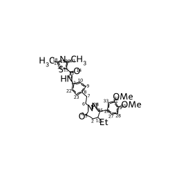 CCC1CC(=O)N(CCc2ccc(NC(=O)c3sc(C)nc3C)cc2)N=C1c1ccc(OC)c(OC)c1